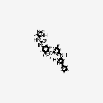 Cc1cc(Nc2cc(-c3cccs3)n[nH]2)nc(Oc2ccc(NC(=O)Nc3cnc[nH]3)cc2C(F)(F)F)n1